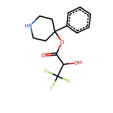 O=C(OC1(c2ccccc2)CCNCC1)C(O)C(F)(F)F